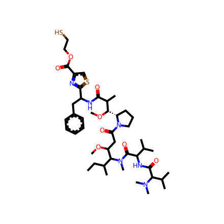 CCC(C)C(C(CC(=O)N1CCC[C@H]1C(OC)C(C)C(=O)NC(Cc1ccccc1)c1nc(C(=O)OCCS)cs1)OC)N(C)C(=O)C(NC(=O)C(C(C)C)N(C)C)C(C)C